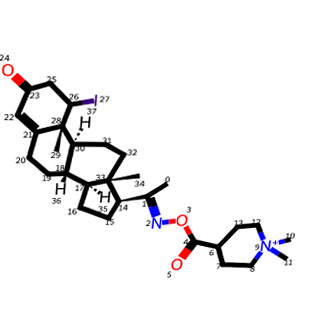 C/C(=N\OC(=O)C1CC[N+](C)(C)CC1)[C@H]1CC[C@H]2[C@@H]3CCC4=CC(=O)CC(I)[C@]4(C)[C@H]3CC[C@]12C